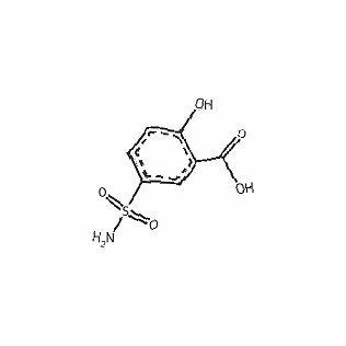 NS(=O)(=O)c1ccc(O)c(C(=O)O)c1